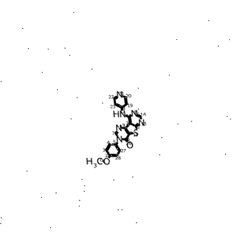 COc1ccc(-n2cnc3c(sc4ncnc(Nc5ccncc5)c43)c2=O)cc1